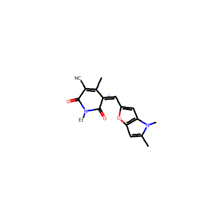 CCN1C(=O)C(C#N)=C(C)/C(=C/c2cc3c(cc(C)n3C)o2)C1=O